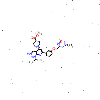 CNC[C@@H](COc1cccc(-c2cc(N3CCC(C(=O)OC)CC3)c(C=N)c(NC(C)C)n2)c1)N=O